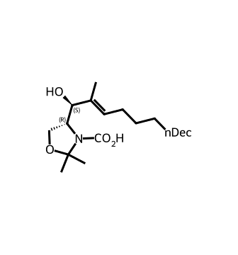 CCCCCCCCCCCCCC=C(C)[C@H](O)[C@H]1COC(C)(C)N1C(=O)O